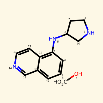 O=C(O)O.c1cc(NC2CCNC2)c2ccncc2c1